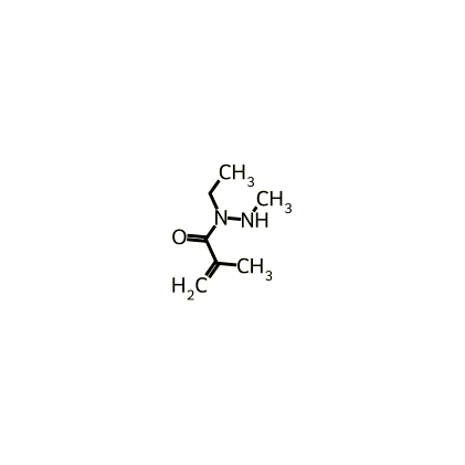 C=C(C)C(=O)N(CC)NC